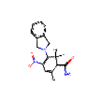 [2H]C1=CC([N+](=O)[O-])=C(N2Cc3ccccc3C2)C([2H])(C)C1C(N)=O